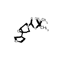 CC(C)(C)OC(=O)N1CCC2(c3ccoc3)OC2C1